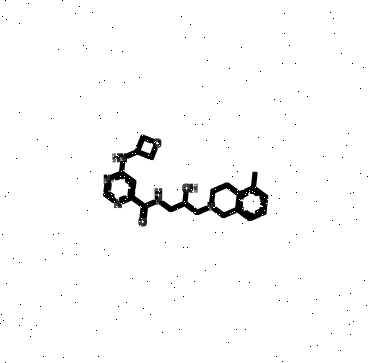 Cc1cccc2c1CCN(CC(O)CNC(=O)c1cc(NC3COC3)ncn1)C2